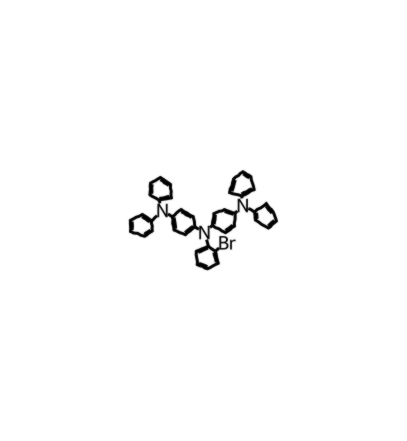 Brc1ccccc1N(c1ccc(N(c2ccccc2)c2ccccc2)cc1)c1ccc(N(c2ccccc2)c2ccccc2)cc1